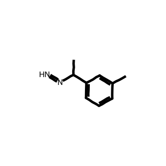 Cc1cccc(C(C)N=N)c1